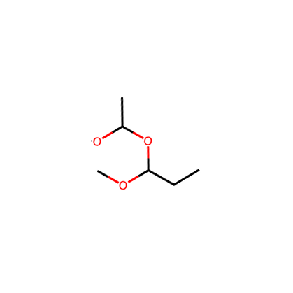 CCC(OC)OC(C)[O]